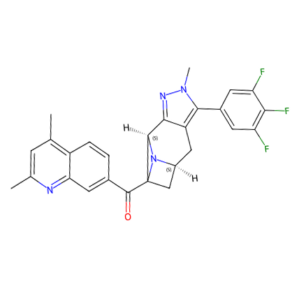 Cc1cc(C)c2ccc(C(=O)C34C[C@@H]5Cc6c(nn(C)c6-c6cc(F)c(F)c(F)c6)[C@H]3N54)cc2n1